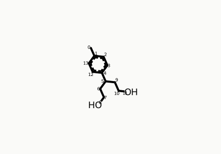 Cc1ccc(C(CCO)CCO)cc1